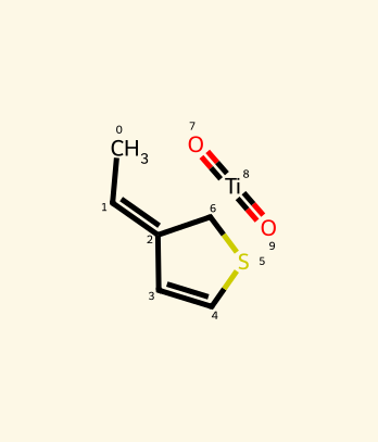 CC=C1C=CSC1.[O]=[Ti]=[O]